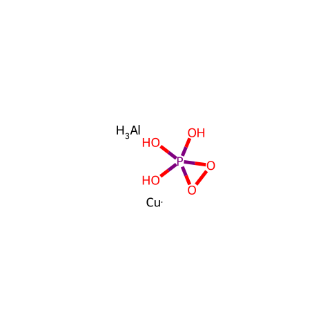 OP1(O)(O)OO1.[AlH3].[Cu]